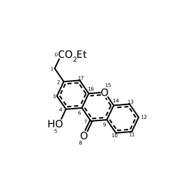 CCOC(=O)Cc1cc(O)c2c(=O)c3ccccc3oc2c1